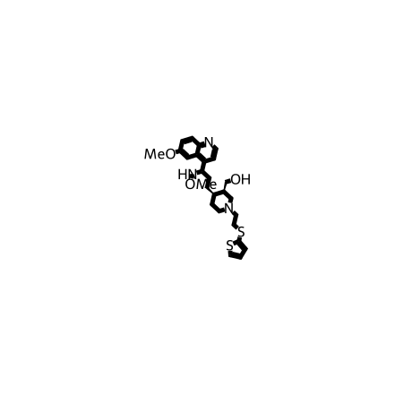 CONC(CC[C@@H]1CCN(CCSc2cccs2)C[C@@H]1CO)c1ccnc2ccc(OC)cc12